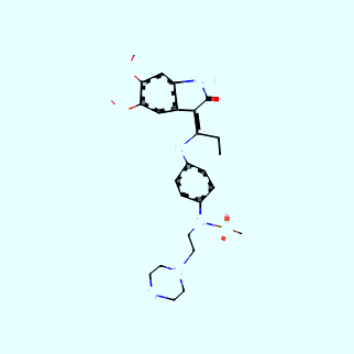 CCC(Nc1ccc(N(CCN2CCNCC2)S(C)(=O)=O)cc1)=C1C(=O)Nc2cc(OC)c(OC)cc21